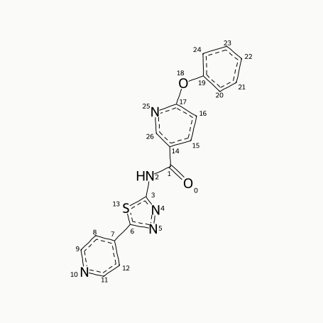 O=C(Nc1nnc(-c2ccncc2)s1)c1ccc(Oc2ccccc2)nc1